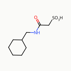 O=C(CS(=O)(=O)O)NCC1CCCCC1